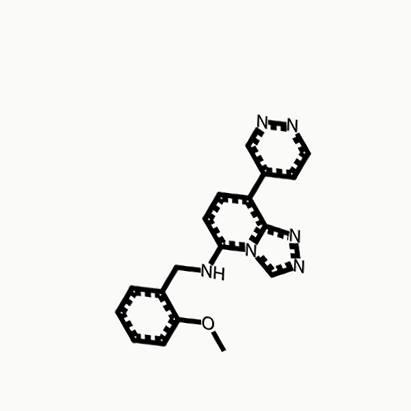 COc1ccccc1CNc1ccc(-c2ccnnc2)c2nncn12